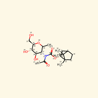 CCCC(=O)N(C(=O)O[C@@H]1CC2CCC1(C)C2(C)C)[C@H]1C(C)O[C@H](CO)[C@@H](O)[C@@H]1O